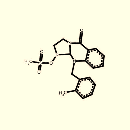 Cc1ccccc1CN1c2ccccc2C(=O)N2CCN(OS(C)(=O)=O)C21